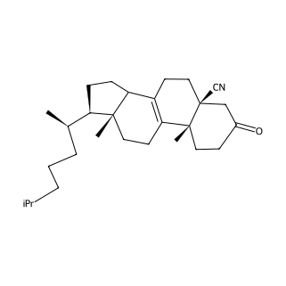 CC(C)CCC[C@@H](C)[C@H]1CCC2C3=C(CC[C@@]21C)[C@@]1(C)CCC(=O)C[C@@]1(C#N)CC3